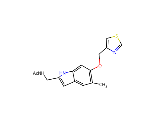 CC(=O)NCc1cc2cc(C)c(OCc3cscn3)cc2[nH]1